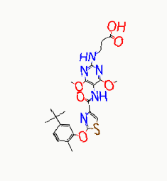 COc1nc(NCCC(=O)O)nc(OC)c1NC(=O)c1csc(Oc2cc(C(C)(C)C)ccc2C)n1